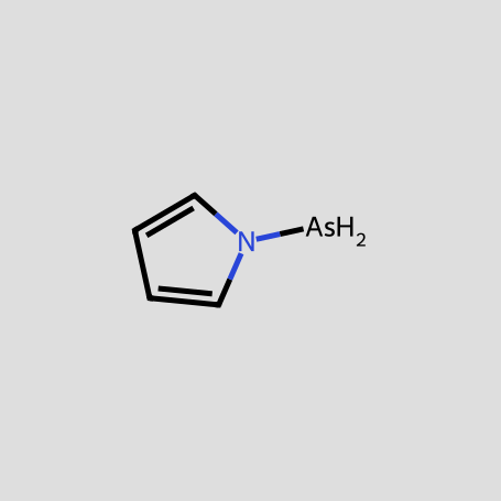 [AsH2]n1cccc1